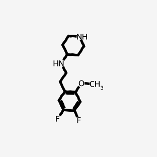 COc1cc(F)c(F)cc1CCNC1CCNCC1